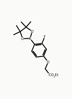 CCOC(=O)COc1ccc(B2OC(C)(C)C(C)(C)O2)c(F)c1